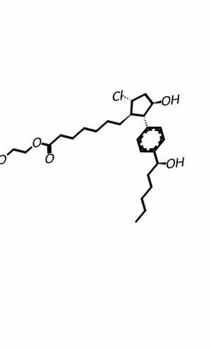 CCCCC[C@H](O)c1ccc([C@@H]2[C@@H](CCCCCCC(=O)OCCO)[C@H](Cl)C[C@H]2O)cc1